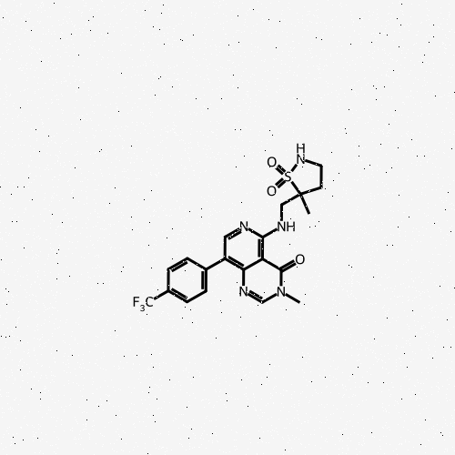 Cn1cnc2c(-c3ccc(C(F)(F)F)cc3)cnc(NCC3(C)CCNS3(=O)=O)c2c1=O